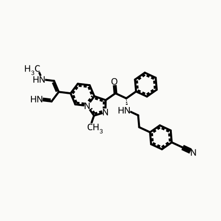 CN/C=C(\C=N)c1ccc2c(C(=O)[C@@H](NCCc3ccc(C#N)cc3)c3ccccc3)nc(C)n2c1